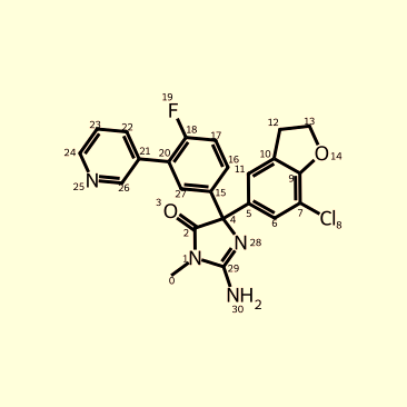 CN1C(=O)C(c2cc(Cl)c3c(c2)CCO3)(c2ccc(F)c(-c3cccnc3)c2)N=C1N